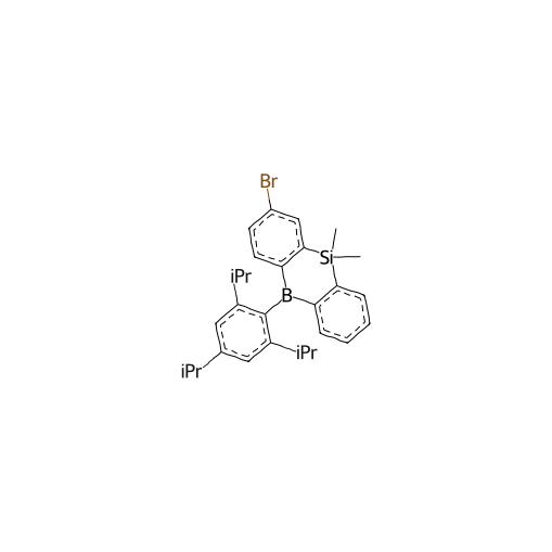 CC(C)c1cc(C(C)C)c(B2c3ccccc3[Si](C)(C)c3cc(Br)ccc32)c(C(C)C)c1